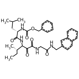 CC[C@H](C)C(NC(=O)[C@H](CC(C)C)NC(=O)OCc1ccccc1)C(=O)C(=O)NCC(=O)NCc1ccc2ccccc2c1